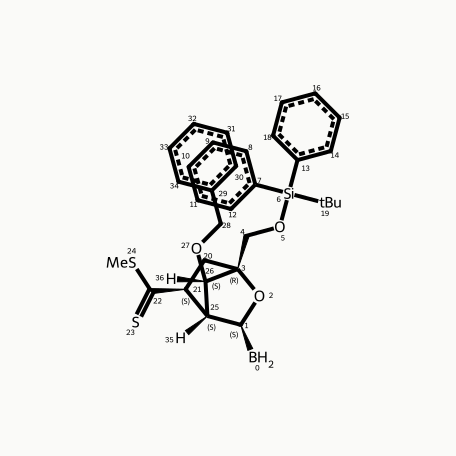 B[C@@H]1O[C@@]2(CO[Si](c3ccccc3)(c3ccccc3)C(C)(C)C)C[C@H](C(=S)SC)[C@@H]1[C@@H]2OCc1ccccc1